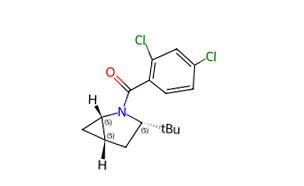 CC(C)(C)[C@@H]1C[C@@H]2C[C@@H]2N1C(=O)c1ccc(Cl)cc1Cl